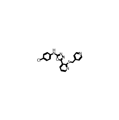 Clc1ccc(Nc2nnc(-c3cccnc3SCc3ccncc3)o2)cc1